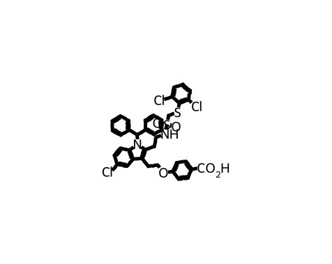 O=C(O)c1ccc(OCCc2c(CCNS(=O)(=O)CSc3c(Cl)cccc3Cl)n(C(c3ccccc3)c3ccccc3)c3ccc(Cl)cc23)cc1